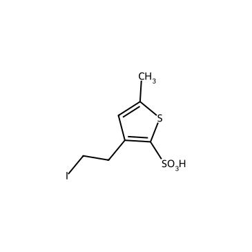 Cc1cc(CCI)c(S(=O)(=O)O)s1